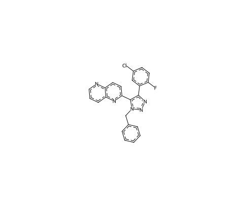 Fc1ccc(Cl)cc1-c1nnn(Cc2ccccc2)c1-c1ccc2ncccc2n1